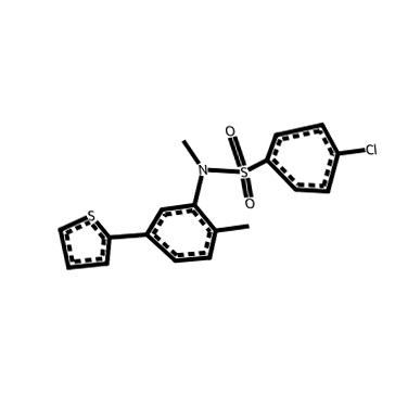 Cc1ccc(-c2cccs2)cc1N(C)S(=O)(=O)c1ccc(Cl)cc1